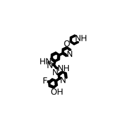 Oc1cc(F)cc(-c2nccc3[nH]c(-c4n[nH]c5ccc(-c6cncc(OC7CCNCC7)c6)cc45)nc23)c1